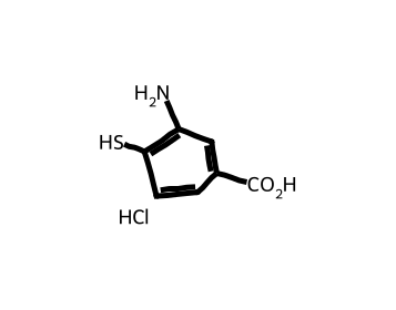 Cl.Nc1cc(C(=O)O)ccc1S